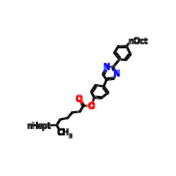 CCCCCCCCc1ccc(-c2ncc(-c3ccc(OC(=O)CCCCC(C)CCCCCCC)cc3)cn2)cc1